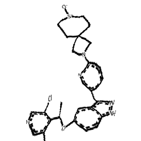 C[C@@H](Oc1ccc2[nH]nc(-c3ccc(N4CC5(CC[S+]([O-])CC5)C4)nc3)c2c1)c1c(Cl)cncc1Cl